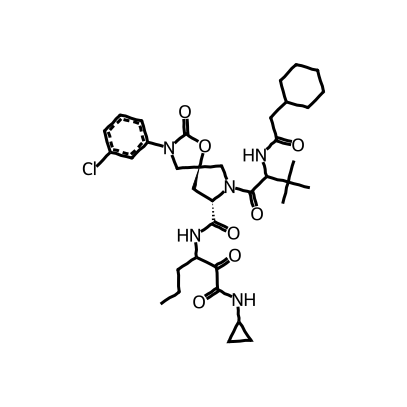 CCCC(NC(=O)[C@@H]1C[C@]2(CN(c3cccc(Cl)c3)C(=O)O2)CN1C(=O)C(NC(=O)CC1CCCCC1)C(C)(C)C)C(=O)C(=O)NC1CC1